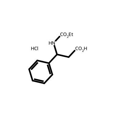 CCOC(=O)NC(CC(=O)O)c1ccccc1.Cl